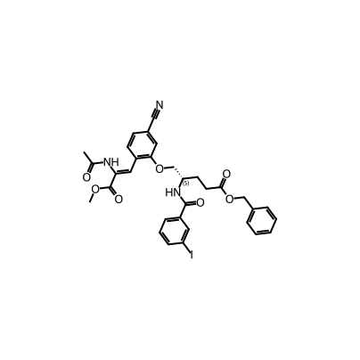 COC(=O)C(=Cc1ccc(C#N)cc1OC[C@H](CCC(=O)OCc1ccccc1)NC(=O)c1cccc(I)c1)NC(C)=O